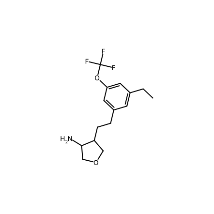 CCc1cc(CCC2COCC2N)cc(OC(F)(F)F)c1